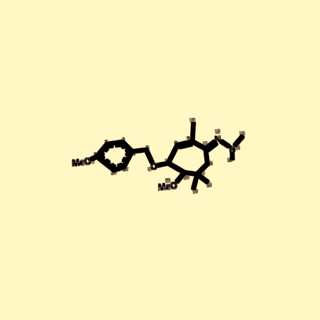 COc1ccc(COC2C=C(C)/C(=N/N(C)C)CC(C)(C)C2OC)cc1